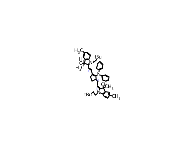 Cc1ccc2c(c1)C(C)(C)C(/C=C/C1=C(N(c3ccccc3)c3ccccc3)C(=C/C=C3/N(CCC(C)(C)C)c4ccc(C)cc4C3(C)C)/CC1)=[N+]2CCC(C)(C)C